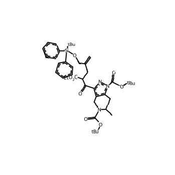 C=C(CO[Si](c1ccccc1)(c1ccccc1)C(C)(C)C)CC(C(=O)OCC)C(=O)c1nn(C(=O)OC(C)(C)C)c2c1CN(C(=O)OC(C)(C)C)C(C)C2